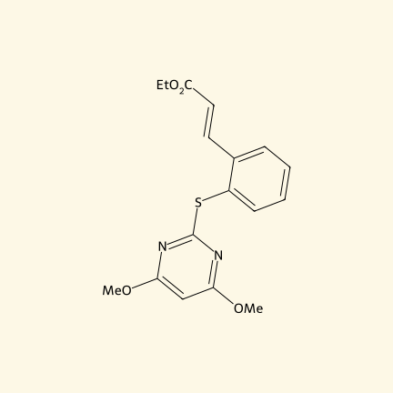 CCOC(=O)C=Cc1ccccc1Sc1nc(OC)cc(OC)n1